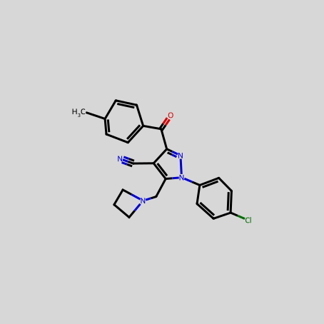 Cc1ccc(C(=O)c2nn(-c3ccc(Cl)cc3)c(CN3CCC3)c2C#N)cc1